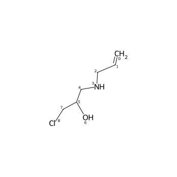 C=CCNCC(O)CCl